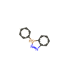 [c]1ccc([SH]2N=Nc3ccccc32)cc1